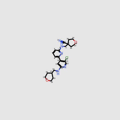 N#CC1(CNc2cccc(-c3cc(NCC4CCOCC4)ncc3Cl)n2)CCOCC1